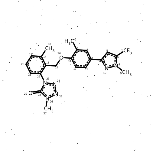 Cc1cc(-c2cc(C(F)(F)F)n(C)n2)ccc1OCc1c(C)cccc1-n1nnn(C)c1=O